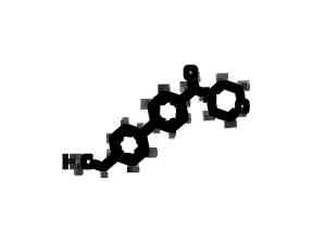 CCc1ccc(-c2ccc(C(=O)N3CCOCC3)cc2)cc1